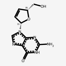 Nc1nc2c(ncn2[C@@H]2C=C[C@H](CO)O2)c(=O)[nH]1